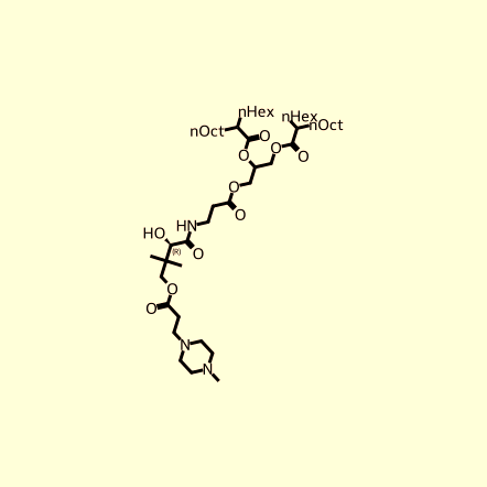 CCCCCCCCC(CCCCCC)C(=O)OCC(COC(=O)CCNC(=O)[C@H](O)C(C)(C)COC(=O)CCN1CCN(C)CC1)OC(=O)C(CCCCCC)CCCCCCCC